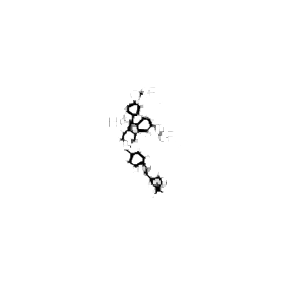 CC1(C)OCC(COc2ccc(CN3CCC(C(O)(c4ccc(OC(F)(F)F)cc4)c4ccc(OC(F)(F)F)cc4)CC3)cc2)O1